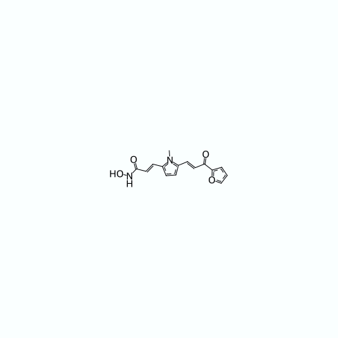 Cn1c(/C=C/C(=O)NO)ccc1/C=C/C(=O)c1ccco1